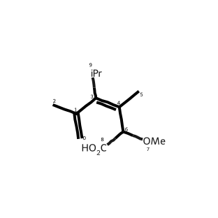 C=C(C)/C(=C(/C)C(OC)C(=O)O)C(C)C